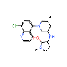 C[C@H]1C[C@@H](NC2CCN(C)C2O)CN(c2ccc(Cl)c3ncccc23)C1